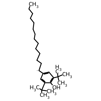 CCCCCCCCCCCCC[CH]c1cc(C(C)(C)C)c(O)c(C(C)(C)C)c1